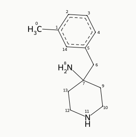 Cc1cccc(CC2(N)CCNCC2)c1